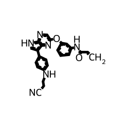 C=CC(=O)Nc1cccc(Oc2cnc3[nH]cc(-c4ccc(NCCC#N)cc4)c3n2)c1